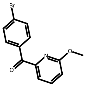 COc1cccc(C(=O)c2ccc(Br)cc2)n1